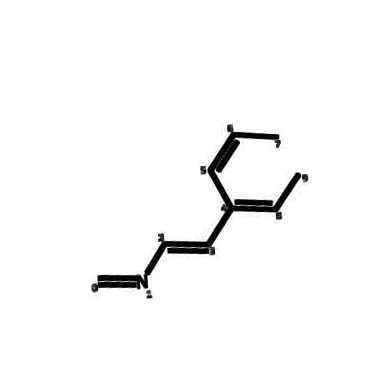 C=N/C=C/C(/C=C\C)=C/C